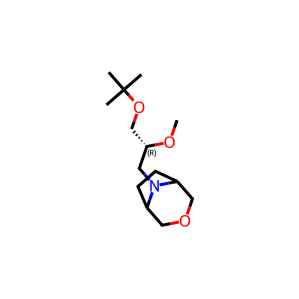 CO[C@@H](COC(C)(C)C)CN1C2CCC1COC2